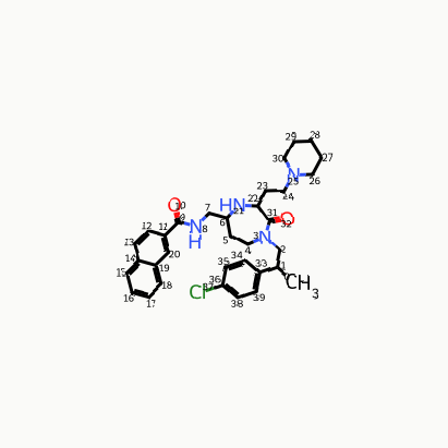 CC(CN1CCC(CNC(=O)c2ccc3ccccc3c2)NC(CCN2CCCCC2)C1=O)c1ccc(Cl)cc1